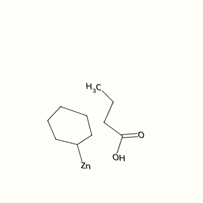 CCCC(=O)O.[Zn][CH]1CCCCC1